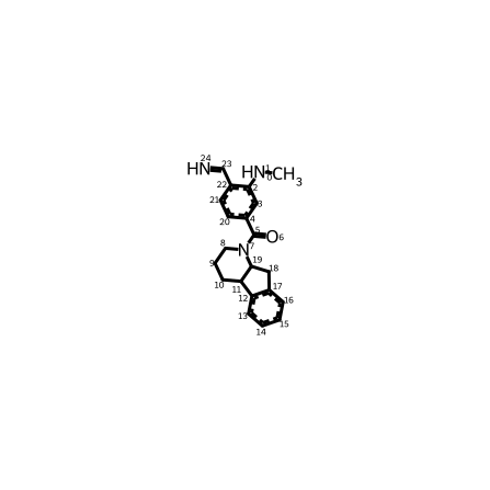 CNc1cc(C(=O)N2CCCC3c4ccccc4CC32)ccc1C=N